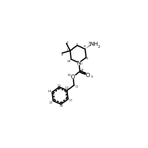 CC1(C)C[C@H](N)CN(C(=O)OCc2ccccc2)C1